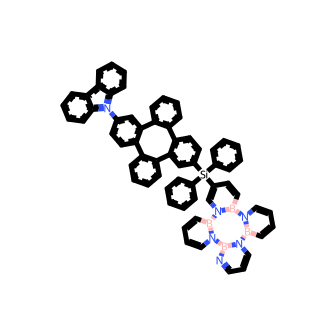 C1=CB2N(C=C1)B1C=CC([Si](c3ccccc3)(c3ccccc3)c3ccc4c(c3)-c3ccccc3-c3ccc(-n5c6ccccc6c6ccccc65)cc3-c3ccccc3-4)=CN1B1C=CC=CN1B1N=CC=CN21